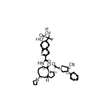 N#C[C@H]1CN(C(=O)[C@@H]2CC[C@@H]3C[C@@H](N4CCC4)CC[C@H](NC(=O)c4cc5cc(C(F)(F)P(=O)(O)O)ccc5s4)C(=O)N32)C[C@@H]1c1ccccc1